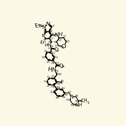 CCc1nc2c(cnn2CC)c(NC2CCOCC2)c1CNC(=O)c1cccc(C(=O)NCc2cccc(-c3cccc(CN4CCNC(C)C4)c3)c2F)c1